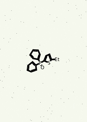 CCc1ccc(P(=O)(c2ccccc2)c2ccccc2)s1